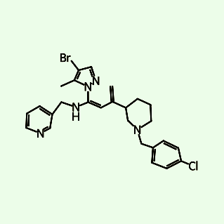 C=C(/C=C(/NCc1cccnc1)n1ncc(Br)c1C)C1CCCN(Cc2ccc(Cl)cc2)C1